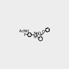 CC(=O)Nc1cc(-c2noc([C@H]3CCCCN3C(=O)COc3ccccc3)n2)ccc1F